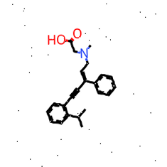 CC(C)c1ccccc1C#CC(=CCN(C)CC(=O)O)c1ccccc1